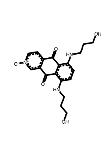 O=C1c2cc[n+]([O-])cc2C(=O)c2c(NCCCO)ccc(NCCCO)c21